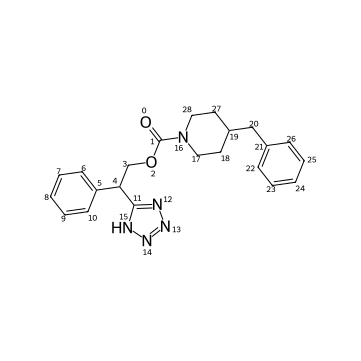 O=C(OCC(c1ccccc1)c1nnn[nH]1)N1CCC(Cc2ccccc2)CC1